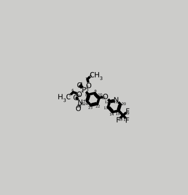 CCOP(=O)(OCC)c1cc(Oc2ccc(C(F)(F)F)cn2)ccc1[N+](=O)[O-]